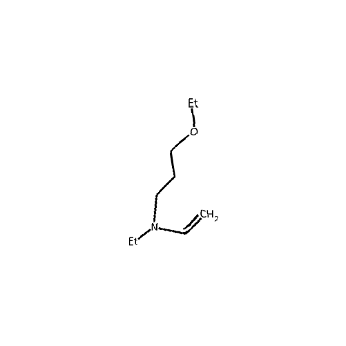 C=CN(CC)CCCOCC